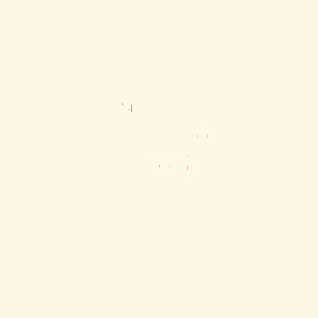 CCCCO[Si](CS[Si](C)(C)C)(OCCCC)OCCCC